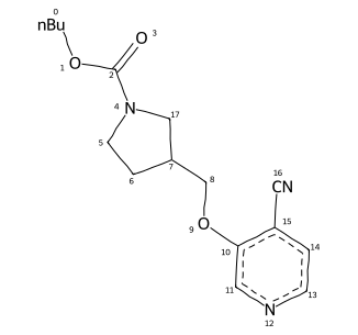 CCCCOC(=O)N1CCC(COc2cnccc2C#N)C1